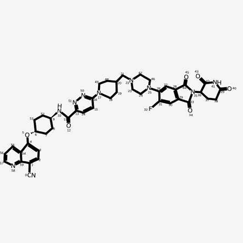 N#Cc1ccc(O[C@H]2CC[C@H](NC(=O)c3ccc(N4CCC(CN5CCN(c6cc7c(cc6F)C(=O)N(C6CCC(=O)NC6=O)C7=O)CC5)CC4)nn3)CC2)c2cccnc12